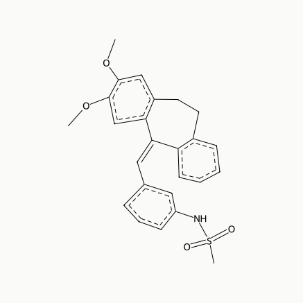 COc1cc2c(cc1OC)/C(=C/c1cccc(NS(C)(=O)=O)c1)c1ccccc1CC2